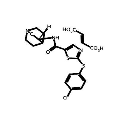 O=C(N[C@H]1CN2CCC1CC2)c1cnc(Sc2ccc(Cl)cc2)s1.O=C(O)/C=C/C(=O)O